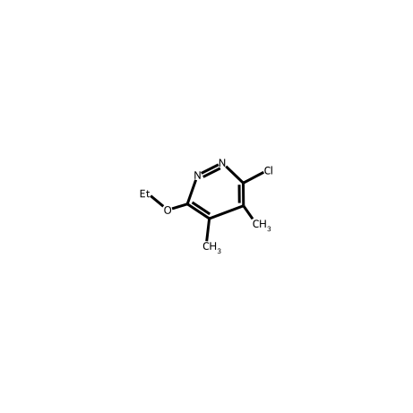 CCOc1nnc(Cl)c(C)c1C